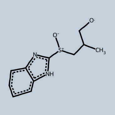 CC(C[O])C[S+]([O-])c1nc2ccccc2[nH]1